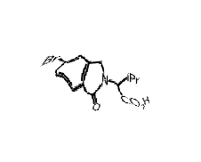 CC(C)C(C(=O)O)N1Cc2cc(Br)ccc2C1=O